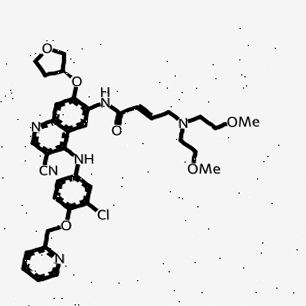 COCCN(C/C=C/C(=O)Nc1cc2c(Nc3ccc(OCc4ccccn4)c(Cl)c3)c(C#N)cnc2cc1O[C@H]1CCOC1)CCOC